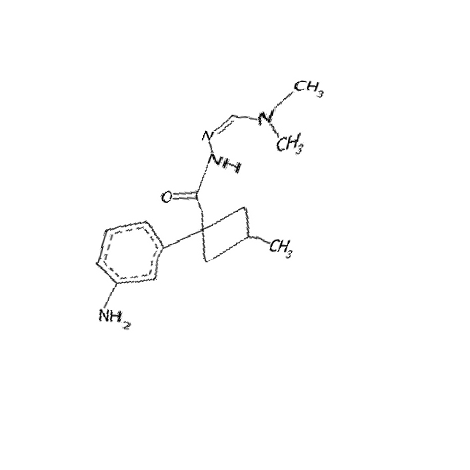 CC1CC(C(=O)N/N=C\N(C)C)(c2cccc(N)c2)C1